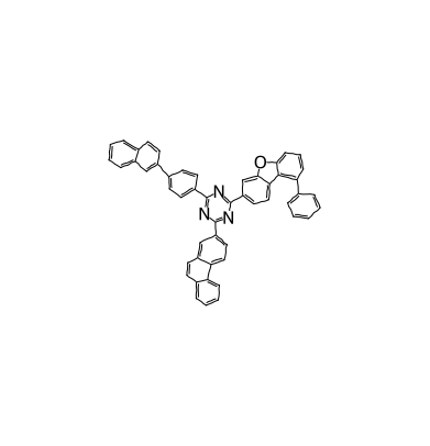 c1ccc(-c2cccc3oc4cc(-c5nc(-c6ccc(-c7ccc8ccccc8c7)cc6)nc(-c6ccc7c(ccc8ccccc87)c6)n5)ccc4c23)cc1